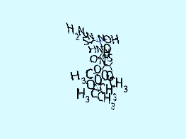 COCC1=C(C(=O)OC(C)OC(=O)C(C)(C)C)N2C(=O)C(NC(=O)/C(=N\O)c3csc(N)n3)[C@H]2SC1